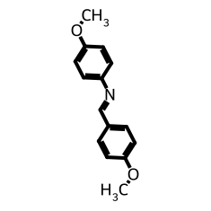 COc1ccc(C=Nc2ccc(OC)cc2)cc1